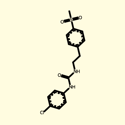 CS(=O)(=O)c1ccc(CCNC(=O)Nc2ccc(Cl)cc2)cc1